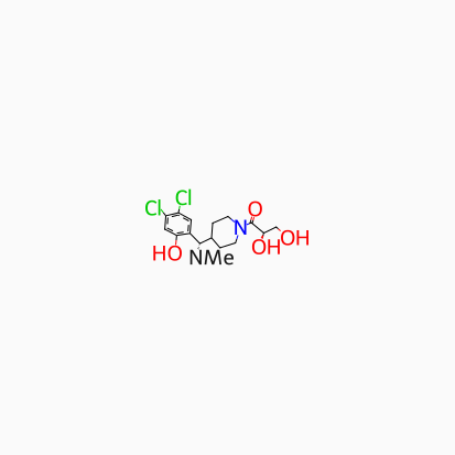 CN[C@H](c1cc(Cl)c(Cl)cc1O)C1CCN(C(=O)[C@H](O)CO)CC1